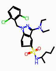 CCCC(C)NS(=O)(=O)c1ccc2c(c1)c(N(CC)CC)nn2Cc1c(Cl)cccc1Cl